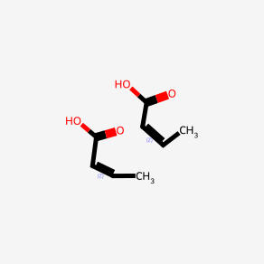 C/C=C\C(=O)O.C/C=C\C(=O)O